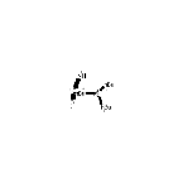 CCCC[Si](CCCC)CCCC.N=C=O